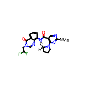 CNc1ncc2c(n1)N1CCC[C@H]1CN(c1cccc3c(=O)n(CC(F)F)cnc13)C2=O